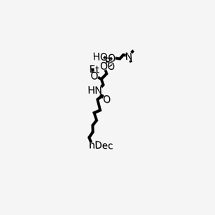 CCCCCCCCCCCCCCCCCC(=O)NCC(COP(=O)(O)OCCN(C)C)OCC